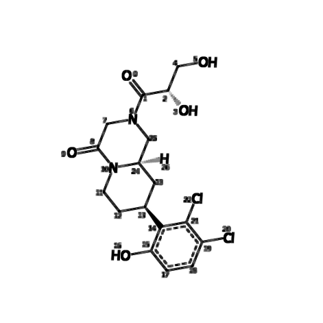 O=C([C@@H](O)CO)N1CC(=O)N2CC[C@H](c3c(O)ccc(Cl)c3Cl)C[C@@H]2C1